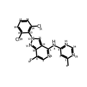 Cc1cc(Nc2ncc(F)c3nn(-c4c(Cl)c[c]cc4Cl)cc23)ncn1